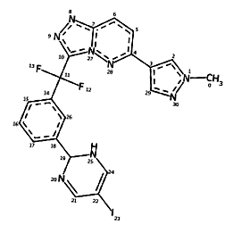 Cn1cc(-c2ccc3nnc(C(F)(F)c4cccc(C5N=CC(I)=CN5)c4)n3n2)cn1